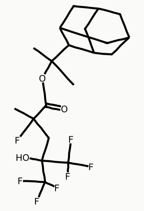 CC(F)(CC(O)(C(F)(F)F)C(F)(F)F)C(=O)OC(C)(C)C1C2CC3CC(C2)CC1C3